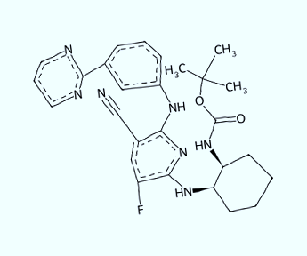 CC(C)(C)OC(=O)N[C@H]1CCCC[C@H]1Nc1nc(Nc2cccc(-c3ncccn3)c2)c(C#N)cc1F